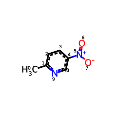 Cc1ccc([N+](=O)[O-])[c]n1